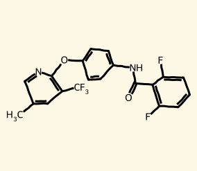 Cc1cnc(Oc2ccc(NC(=O)c3c(F)cccc3F)cc2)c(C(F)(F)F)c1